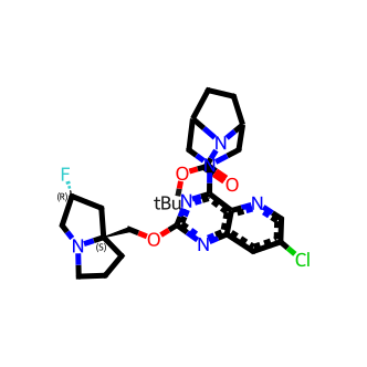 CC(C)(C)OC(=O)N1C2CCC1CN(c1nc(OC[C@@]34CCCN3C[C@H](F)C4)nc3cc(Cl)cnc13)C2